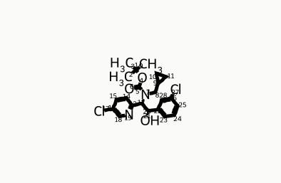 CC(C)(C)OC(=O)N(CC1CC1)[C@H](c1ccc(Cl)cn1)[C@H](O)c1cccc(Cl)c1